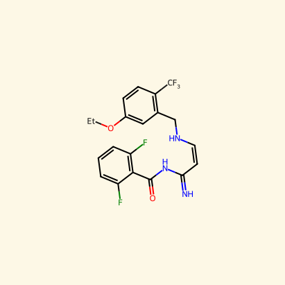 CCOc1ccc(C(F)(F)F)c(CN/C=C\C(=N)NC(=O)c2c(F)cccc2F)c1